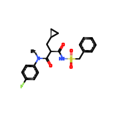 CC(C)N(C(=O)C(CC1CC1)C(=O)NS(=O)(=O)Cc1ccccc1)c1ccc(F)cc1